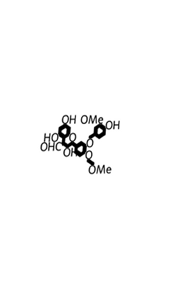 COCCOc1ccc(C2Oc3cc(O)cc(O)c3C(C=O)C2O)cc1OCc1ccc(O)c(OC)c1